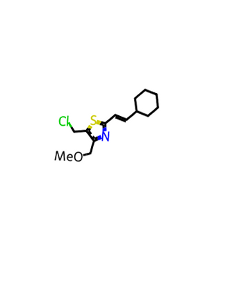 COCc1nc(/C=C/C2CCCCC2)sc1CCl